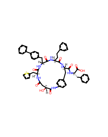 O=C1C[C@@H](O)C(=O)Nc2ccc(cc2)C[C@@H](C(=O)N[C@@H](Cc2ccccc2)C(=O)O)NC(=O)[C@H](CCc2ccccc2)NC(=O)[C@@H](Cc2ccc(-c3ccccc3)cc2)NC(=O)[C@H](Cc2cccs2)N1